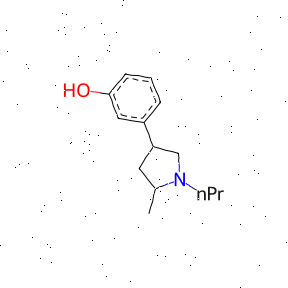 CCCN1CC(c2cccc(O)c2)CC1C